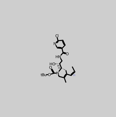 C/C=C\C1=C(C)CN(C(=O)OC(C)(C)C)[C@H]([C@H](O)CNC(=O)c2ccc(Cl)nc2)C1